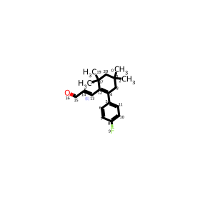 CC1(C)CC(c2ccc(F)cc2)=C(/C=C/C=O)C(C)(C)C1